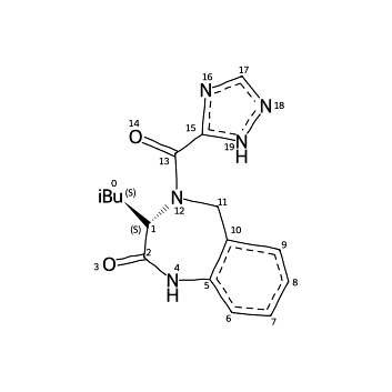 CC[C@H](C)[C@H]1C(=O)Nc2ccccc2CN1C(=O)c1ncn[nH]1